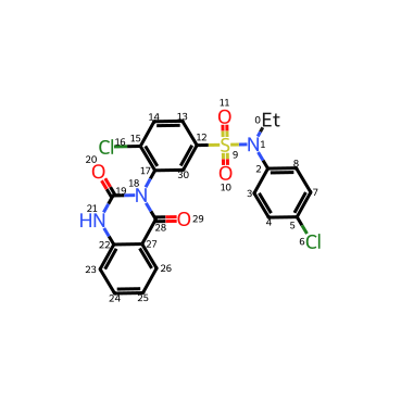 CCN(c1ccc(Cl)cc1)S(=O)(=O)c1ccc(Cl)c(-n2c(=O)[nH]c3ccccc3c2=O)c1